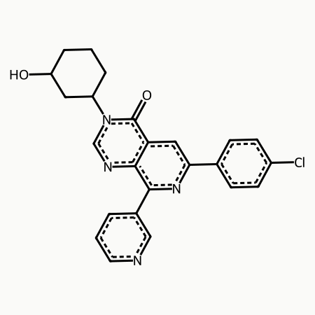 O=c1c2cc(-c3ccc(Cl)cc3)nc(-c3cccnc3)c2ncn1C1CCCC(O)C1